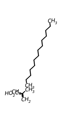 C.C=C(C)C(=O)O.CCCCCCCCCCCCCC